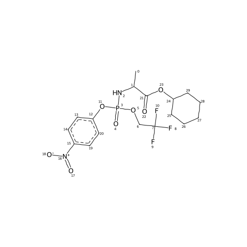 CC(NP(=O)(OCC(F)(F)F)Oc1ccc([N+](=O)[O-])cc1)C(=O)OC1CCCCC1